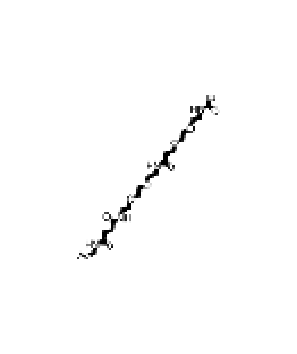 CCC(=O)NCCOCCOCCC(=O)NCCOCCOCCNC(=O)CCC(=O)NCC(C)=O